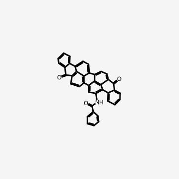 O=C(Nc1cc2c3ccc4c5c(ccc(c6ccc7c(c1-c1ccccc1C7=O)c62)c53)-c1ccccc1C4=O)c1ccccc1